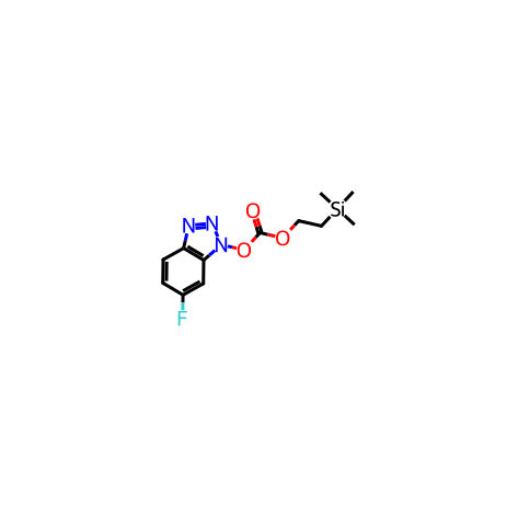 C[Si](C)(C)CCOC(=O)On1nnc2ccc(F)cc21